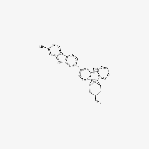 CC1CC2CC(C)CC(C1)C21c2ccccc2-c2cc(-c3ccc4c(c3)oc3cc(Br)ccc34)ccc21